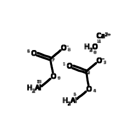 O.O=C([O-])[O][AlH2].O=C([O-])[O][AlH2].[Ca+2]